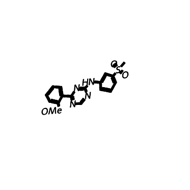 COc1ccccc1-c1ncnc(Nc2cccc(S(C)(=O)=O)c2)n1